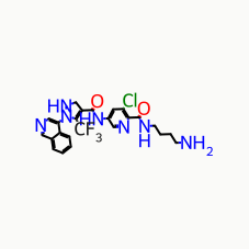 NCCCCNC(=O)c1ncc(NC(=O)C2=C(C(F)(F)F)N(c3cncc4ccccc34)NC2)cc1Cl